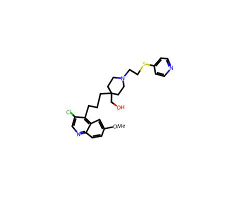 COc1ccc2ncc(Cl)c(CCCC3(CO)CCN(CCSc4ccncc4)CC3)c2c1